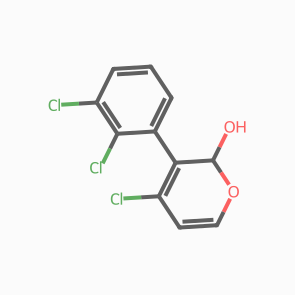 OC1OC=CC(Cl)=C1c1cccc(Cl)c1Cl